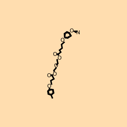 Cc1ccc(OCCCC(=O)OCCOCCOC(=O)CCCCCOc2ccc(OC#N)cc2)cc1